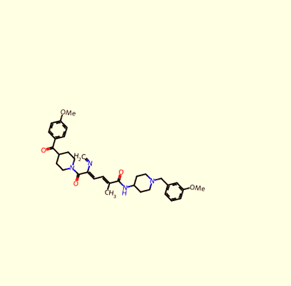 C=N/C(=C\C=C(/C)C(=O)NC1CCN(Cc2cccc(OC)c2)CC1)C(=O)N1CCC(C(=O)c2ccc(OC)cc2)CC1